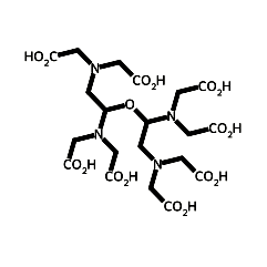 O=C(O)CN(CC(=O)O)CC(OC(CN(CC(=O)O)CC(=O)O)N(CC(=O)O)CC(=O)O)N(CC(=O)O)CC(=O)O